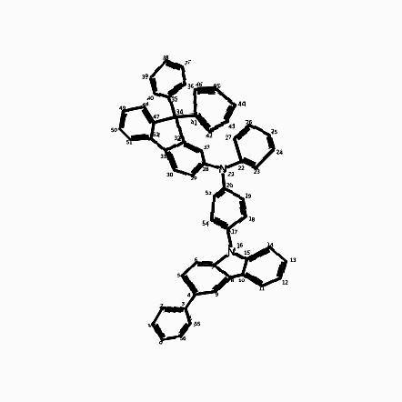 c1ccc(-c2ccc3c(c2)c2ccccc2n3-c2ccc(N(c3ccccc3)c3ccc4c(c3)C(c3ccccc3)(c3ccccc3)c3ccccc3-4)cc2)cc1